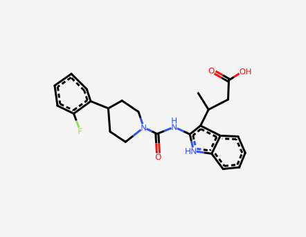 CC(CC(=O)O)c1c(NC(=O)N2CCC(c3ccccc3F)CC2)[nH]c2ccccc12